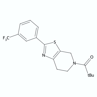 CC(C)(C)C(=O)N1CCc2nc(-c3cccc(C(F)(F)F)c3)sc2C1